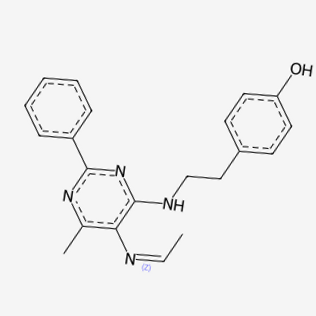 C/C=N\c1c(C)nc(-c2ccccc2)nc1NCCc1ccc(O)cc1